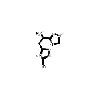 CC(C)c1nsc(CC(C)c2nncs2)n1